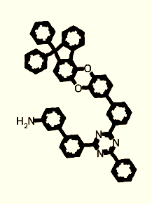 Nc1cccc(-c2cccc(-c3nc(-c4ccccc4)nc(-c4cccc(-c5ccc6c(c5)Oc5ccc7c(c5O6)-c5ccccc5C7(c5ccccc5)c5ccccc5)c4)n3)c2)c1